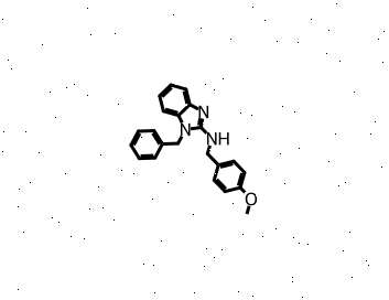 COc1ccc(CNc2nc3ccccc3n2Cc2ccccc2)cc1